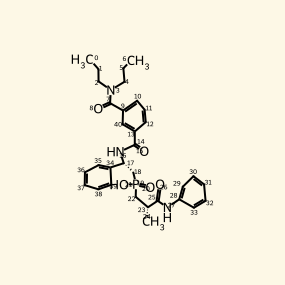 CCCN(CCC)C(=O)c1cccc(C(=O)N[C@H](CP(=O)(O)C[C@@H](C)C(=O)Nc2ccccc2)c2ccccc2)c1